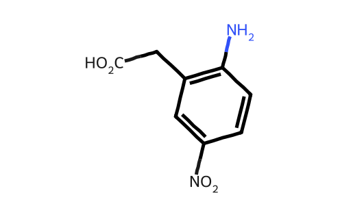 Nc1ccc([N+](=O)[O-])cc1CC(=O)O